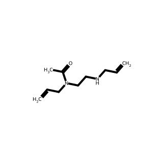 C=CCNCCN(CC=C)C(C)=O